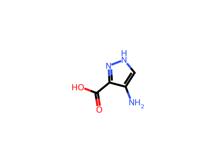 Nc1c[nH]nc1C(=O)O